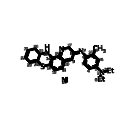 CCN(CC)c1ccc(N=C2C=c3ccc4c(c3=NC2)NC2CC=CC=C2S4)c(C)c1.[Ni]